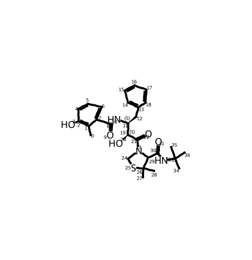 Cc1c(O)cccc1C(=O)N[C@@H](Cc1ccccc1)[C@H](O)C(=O)N1CSC(C)(C)C1C(=O)NC(C)(C)C